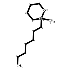 CCCCCCC[Si]1(C)CCCCO1